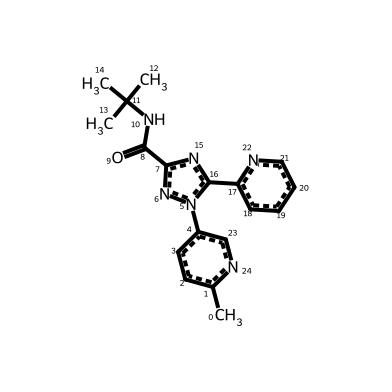 Cc1ccc(-n2nc(C(=O)NC(C)(C)C)nc2-c2ccccn2)cn1